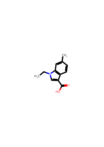 CCn1cc(C(=O)O)c2ccc(C)cc21